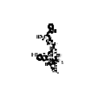 NC(=O)C[C@H](NC(=O)[C@@H](N)CO)C(=O)N[C@@H](Cc1ccc(O)cc1)C(=O)NCC(=O)N[C@@H](CO)C(=O)NCC(=O)N[C@@H](Cc1c[nH]c2ccccc12)C(=O)O